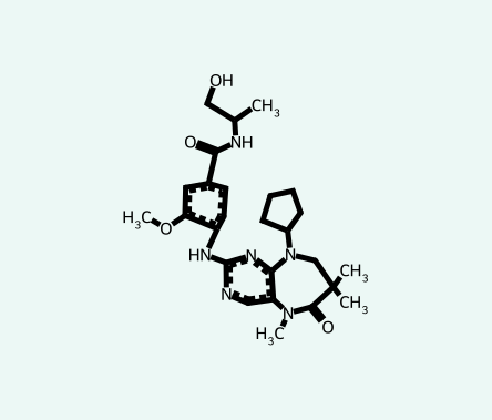 COc1cc(C(=O)NC(C)CO)ccc1Nc1ncc2c(n1)N(C1CCCC1)CC(C)(C)C(=O)N2C